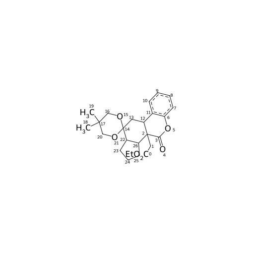 CCOC(=O)CC12C(=O)Oc3ccccc3C1CC1(OCC(C)(C)CO1)C1CCCC12